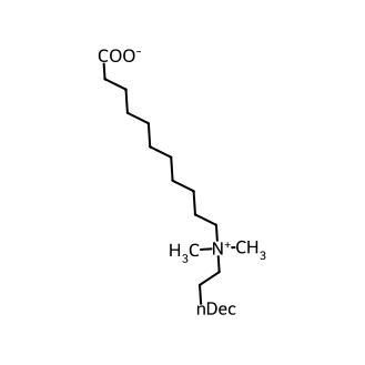 CCCCCCCCCCCC[N+](C)(C)CCCCCCCCCCC(=O)[O-]